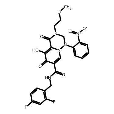 COCCN1CN(c2ccccc2[N+](=O)[O-])n2cc(C(=O)NCc3ccc(F)cc3F)c(=O)c(O)c2C1=O